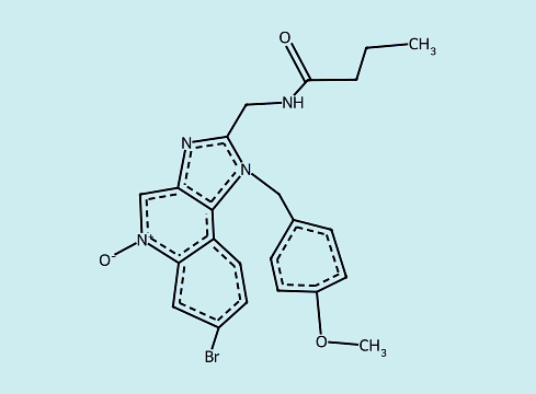 CCCC(=O)NCc1nc2c[n+]([O-])c3cc(Br)ccc3c2n1Cc1ccc(OC)cc1